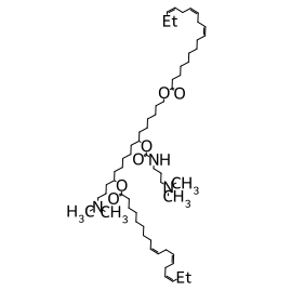 CC/C=C\C/C=C\C/C=C\CCCCCCCC(=O)OCCCCCCC(CCCCCC(CCCN(C)C)OC(=O)CCCCCCC/C=C\C/C=C\C/C=C\CC)OC(=O)NCCCN(C)C